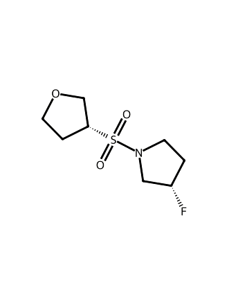 O=S(=O)([C@@H]1CCOC1)N1CC[C@H](F)C1